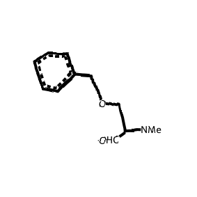 CNC([C]=O)COCc1ccccc1